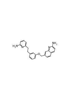 Nc1cccc(CCc2cccc(OCc3ccc4ccc(N)nc4c3)c2)n1